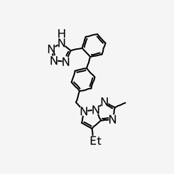 CCc1cn(Cc2ccc(-c3ccccc3-c3nnn[nH]3)cc2)n2nc(C)nc12